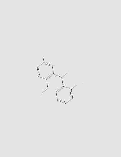 COc1c[c]ccc1C(N)c1cc(F)ccc1CN